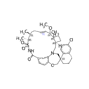 CO[C@]1(C)/C=C/C[C@H](C)[C@@H](C)S(=O)(=O)NC(=O)c2ccc3c(c2)N(C[C@@H]2CC[C@H]21)C[C@@]1(CCCc2cc(Cl)ccc21)CO3